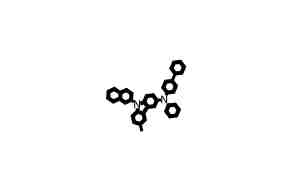 Cc1ccc2c(c1)c1cc(N(c3ccccc3)c3ccc(-c4ccccc4)cc3)ccc1n2-c1ccc2ccccc2c1